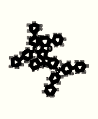 CC1(c2ccccc2)c2cc(N(c3ccc(-c4ccccc4)cc3)c3ccc(-c4ccccc4)cc3)ccc2-c2c1cc(N(c1ccc(-c3ccccc3)cc1)c1ccc(-c3ccccc3)cc1)c1c2oc2c(-c3ccccc3)cccc21